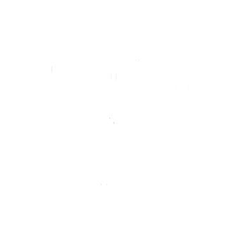 CCCCCCCCCCCC(=O)O.O=S(=O)(O)O.OCCN(CCO)CCO